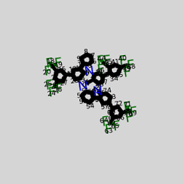 N#Cc1c(-n2c3ccccc3c3cc(-c4cc(C(F)(F)F)cc(C(F)(F)F)c4)ccc32)cc(-c2ccc(C(F)(F)F)cc2C(F)(F)F)cc1-n1c2ccccc2c2cc(-c3cc(C(F)(F)F)cc(C(F)(F)F)c3)ccc21